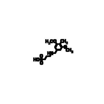 COc1cc(CNCCCS(=O)(=O)O)cc(OC)c1C